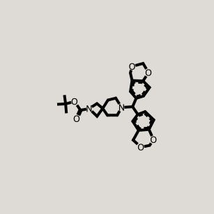 CC(C)(C)OC(=O)N1CC2(CCN(C(c3ccc4c(c3)COCO4)c3ccc4c(c3)COCO4)CC2)C1